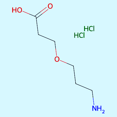 Cl.Cl.NCCCOCCC(=O)O